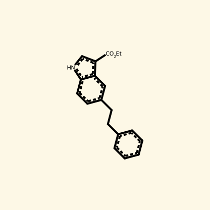 CCOC(=O)c1c[nH]c2ccc(CCc3ccccc3)cc12